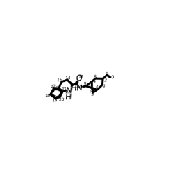 CCC1CC2CC23C(C1)C3NC(=O)C1CCc2ccccc2N1